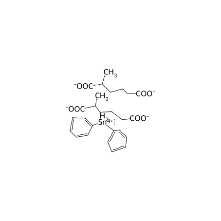 CC(CCCC(=O)[O-])C(=O)[O-].CC(CCCC(=O)[O-])C(=O)[O-].c1cc[c]([SnH2+4][c]2ccccc2)cc1